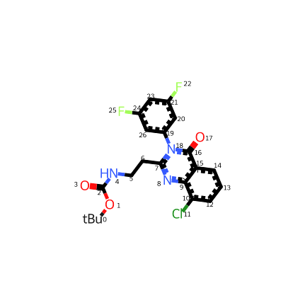 CC(C)(C)OC(=O)NCCc1nc2c(Cl)cccc2c(=O)n1-c1cc(F)cc(F)c1